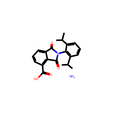 CC(C)c1cccc(C(C)C)c1N1C(=O)c2cccc(C(=O)O)c2C1=O.N